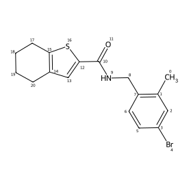 Cc1cc(Br)ccc1CNC(=O)c1cc2c(s1)CCCC2